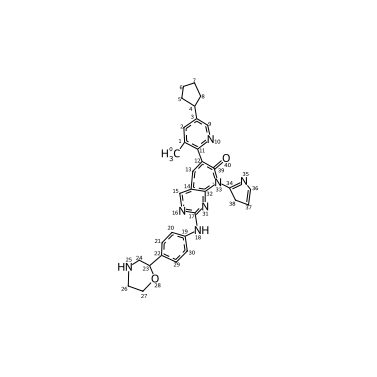 Cc1cc(C2CCCC2)cnc1-c1cc2cnc(Nc3ccc(C4CNCCO4)cc3)nc2n(C2=NC=CC2)c1=O